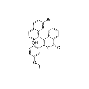 CCOc1ccnc(-c2oc(=O)c3ccccc3c2-c2c(O)ccc3ccc(Br)cc23)c1